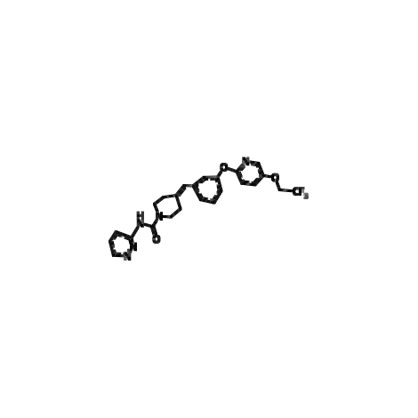 O=C(Nc1cccnn1)N1CCC(=Cc2cccc(Oc3ccc(OCC(F)(F)F)cn3)c2)CC1